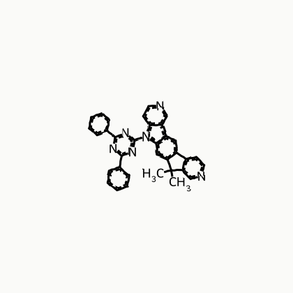 CC1(C)c2cnccc2-c2cc3c4cnccc4n(-c4nc(-c5ccccc5)nc(-c5ccccc5)n4)c3cc21